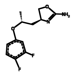 C[C@H](C[C@H]1COC(N)=N1)Oc1ccc(F)c(F)c1